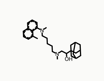 Cc1cccc2cccc(N(C)CCCCCN(C)CC(O)C34CC5CC(CC(C5)C3)C4)c12